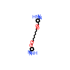 c1cc2[nH]nnc2cc1COOCCCCCCCCOCOc1ccc2[nH]nnc2c1